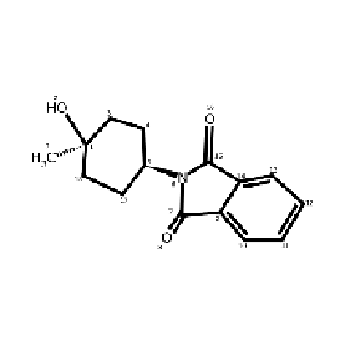 C[C@]1(O)CC[C@@H](N2C(=O)c3ccccc3C2=O)CC1